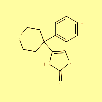 Cl.O=C1[N]C=C(C2(c3ccccc3)CCNCC2)N1